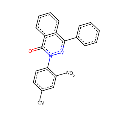 N#Cc1ccc(-n2nc(-c3ccccc3)c3ccccc3c2=O)c([N+](=O)[O-])c1